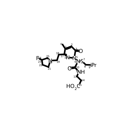 Cc1cc(=O)n(N(SCC(C)C)C(=O)NCCC(=O)O)nc1CCN1CCC(F)C1